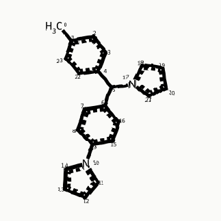 Cc1ccc(C(c2ccc(-n3cccc3)cc2)n2cccc2)cc1